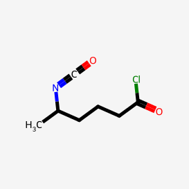 CC(CCCC(=O)Cl)N=C=O